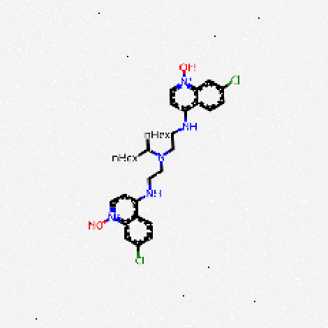 CCCCCCC(CCCCCC)N(CCNc1cc[n+](O)c2cc(Cl)ccc12)CCNc1cc[n+](O)c2cc(Cl)ccc12